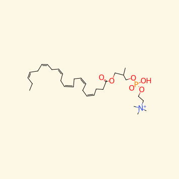 CC/C=C\C/C=C\C/C=C\C/C=C\C/C=C\C/C=C\CCC(=O)OCC(C)COP(=O)(O)OCC[N+](C)(C)C